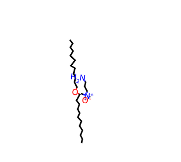 CCCCCCCCCCCCOCCCCCCCCCCCC.C[N+](C)([O-])CCCN